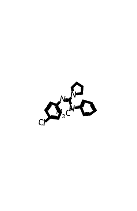 CN(C(=Nc1ccc(Cl)cc1)N1CCCC1)c1ccccc1